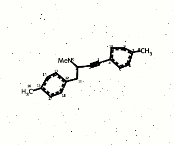 CNC(C#Cc1ccc(C)cc1)Cc1ccc(C)cc1